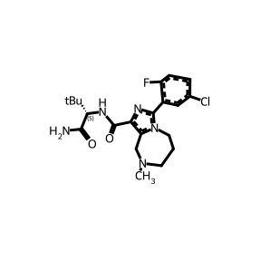 CN1CCCn2c(-c3cc(Cl)ccc3F)nc(C(=O)N[C@H](C(N)=O)C(C)(C)C)c2C1